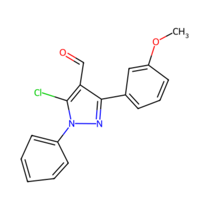 COc1cccc(-c2nn(-c3ccccc3)c(Cl)c2C=O)c1